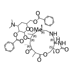 CO[C@]1(C)C[C@@H](C)CN[C@H](C)[C@H]2NC(=O)O[C@]2(C)COC(=O)C(C)C(=O)[C@H](C)[C@H]1OC1OC(COC(=O)c2ccccc2)CC(N(C)C)C1OC(=O)c1ccccc1